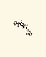 Fc1cc(NCCCCNC[C@@H]2CCCN2)c(Cl)cc1SNc1ncns1